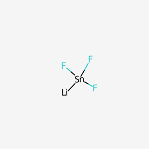 [Li][Sn]([F])([F])[F]